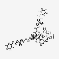 CC(C)C(C(=O)O)N(C)c1ccccc1C(=N)NP(=O)(OCCCCOC(=O)OCCc1ccccc1)OCCCCOC(=O)OCCc1ccccc1